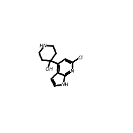 OC1(c2cc(Cl)nc3[nH]ccc23)CCNCC1